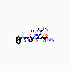 CC1CC2CCCC(C2)C1NC(=O)Cn1cccc(NC(=O)[C@H](CCC(=O)C(N)=O)NC(=O)/C(=C/N)N(C)N)c1=O